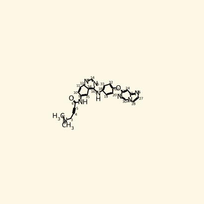 CN(C)CC#CC(=O)Nc1ccc2ncnc(Nc3ccc(Oc4cc5nccn5cn4)cc3)c2c1